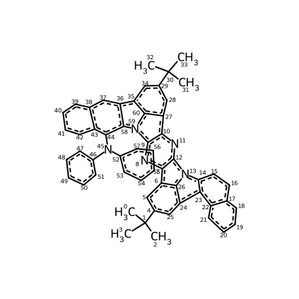 CC(C)(C)c1cc2c3nc4c(nc3n3c5ccc6ccccc6c5c(c1)c23)c1cc(C(C)(C)C)cc2c3cc5ccccc5c(N(c5ccccc5)c5ccccc5)c3n4c21